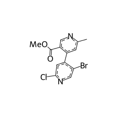 COC(=O)c1cnc(C)cc1-c1cc(Cl)ncc1Br